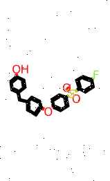 O=S(=O)(c1ccc(F)cc1)c1ccc(Oc2ccc(Cc3ccc(O)cc3)cc2)cc1